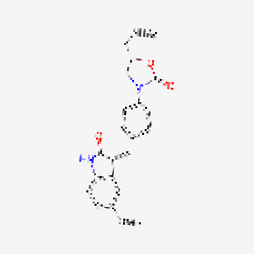 COc1ccc2c(c1)C(=Cc1ccc(N3C[C@H](CNC(C)=O)OC3=O)cc1)C(=O)N2